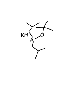 CC(C)[CH2][Al]([CH2]C(C)C)[O]C(C)(C)C.[KH]